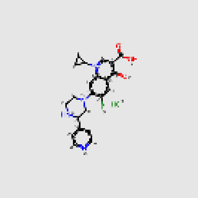 Cl.O=C(O)c1cn(C2CC2)c2cc(N3CCNC(c4ccncc4)C3)c(F)cc2c1=O